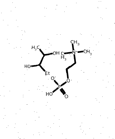 CCC(O)C(C)O.C[N+](C)(C)CCOP(=O)([O-])O